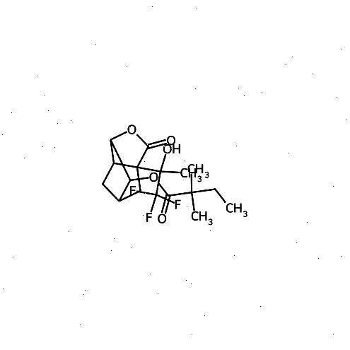 CCC(C)(C)C(=O)OC1C2CC3C1OC(=O)C3(C(C)(O)C(F)(F)F)C2